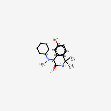 CN(C1CCCCC1)C1C(=O)NC(C)(C)c2ccc(Br)cc21